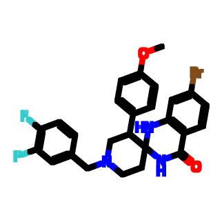 COc1ccc(C2CN(Cc3ccc(F)c(F)c3)CCC23NC(=O)c2ccc(Br)cc2N3)cc1